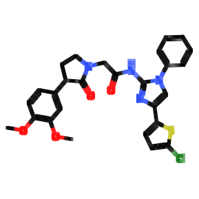 COc1ccc(C2CCN(CC(=O)Nc3nc(-c4ccc(Cl)s4)cn3-c3ccccc3)C2=O)cc1OC